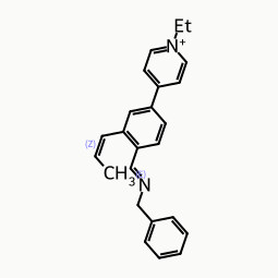 C/C=C\c1cc(-c2cc[n+](CC)cc2)ccc1/C=N/Cc1ccccc1